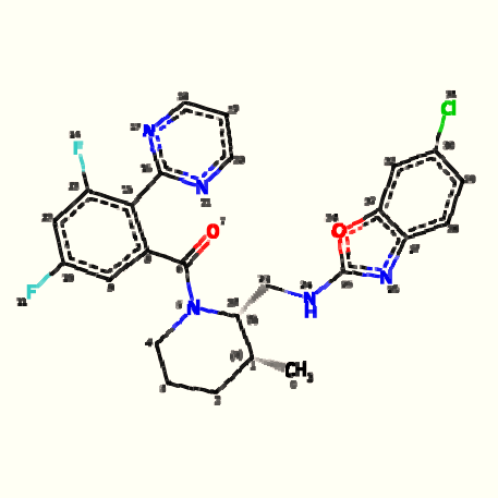 C[C@@H]1CCCN(C(=O)c2cc(F)cc(F)c2-c2ncccn2)[C@@H]1CNc1nc2ccc(Cl)cc2o1